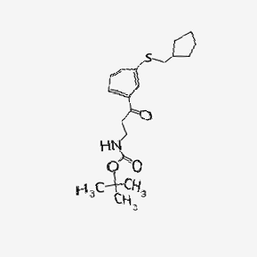 CC(C)(C)OC(=O)NCCC(=O)c1cccc(SCC2CCCC2)c1